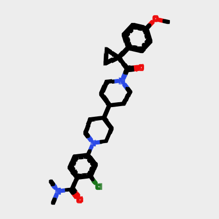 COc1ccc(C2(C(=O)N3CCC(C4CCN(c5ccc(C(=O)N(C)C)c(Cl)c5)CC4)CC3)CC2)cc1